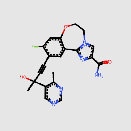 Cc1ncncc1C(C)(O)C#Cc1cc2c(cc1F)OCCn1cc(C(N)=O)nc1-2